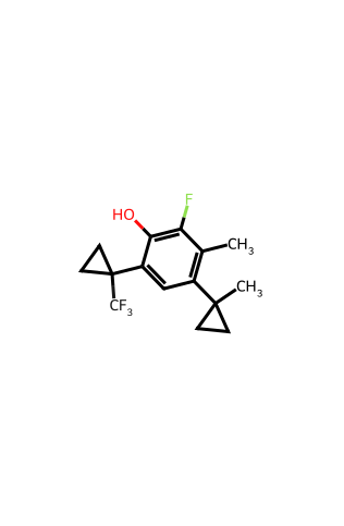 Cc1c(C2(C)CC2)cc(C2(C(F)(F)F)CC2)c(O)c1F